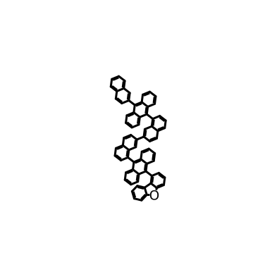 c1ccc2cc(-c3c4ccccc4c(-c4cccc5ccc(-c6ccc7cccc(-c8c9ccccc9c(-c9cccc%10oc%11ccccc%11c9%10)c9ccccc89)c7c6)cc45)c4ccccc34)ccc2c1